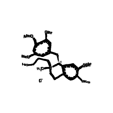 COc1cc2c(cc1OC)[C@@H](Cc1cc(OC)c(OC)c(OC)c1)[N+](C)(CCCO)CC2.[Cl-]